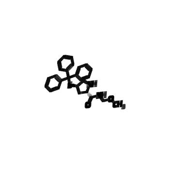 COCNC(=O)[C@@H]1C[C@@H](SC(c2ccccc2)(c2ccccc2)c2ccccc2)CN1